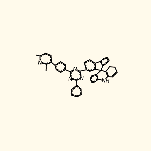 Cc1ccc(-c2ccc(-c3nc(-c4ccccc4)nc(-c4ccc5c(c4)C4(C6=C(C=CCC6)Nc6ccccc64)c4ccccc4-5)n3)cc2)c(C)n1